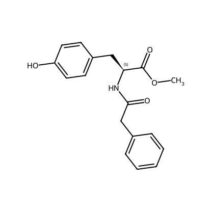 COC(=O)[C@H](Cc1ccc(O)cc1)NC(=O)Cc1ccccc1